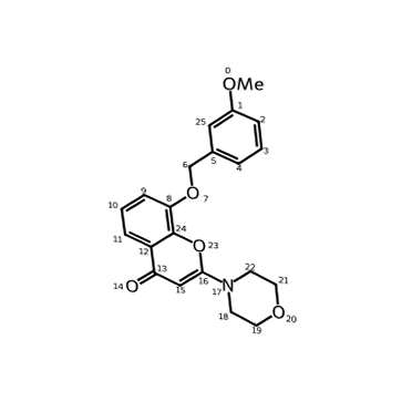 COc1cccc(COc2cccc3c(=O)cc(N4CCOCC4)oc23)c1